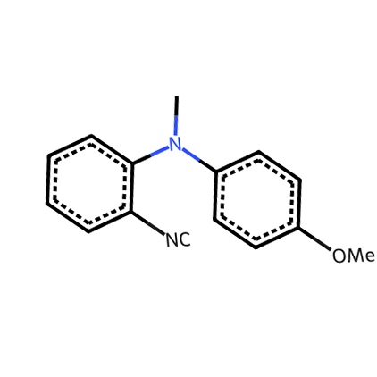 [C-]#[N+]c1ccccc1N(C)c1ccc(OC)cc1